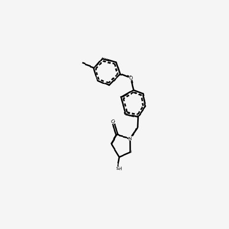 Cc1ccc(Oc2ccc(CN3CC(S)CC3=O)cc2)cc1